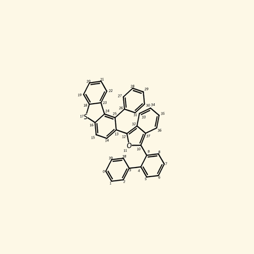 c1ccc(-c2ccccc2-c2oc(-c3ccc4sc5ccccc5c4c3-c3ccccc3)c3ccccc23)cc1